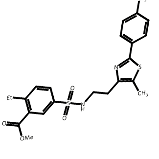 CCc1ccc(S(=O)(=O)NCCc2nc(-c3ccc(C(F)(F)F)cc3)sc2C)cc1C(=O)OC